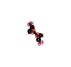 O=[N+]([O-])c1ccc2c(c1)-c1ccccc1P(=O)(CCCCP1(=O)Oc3ccc([N+](=O)[O-])cc3-c3ccccc31)O2